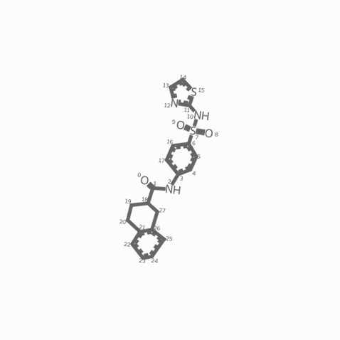 O=C(Nc1ccc(S(=O)(=O)Nc2nccs2)cc1)C1CCc2ccccc2C1